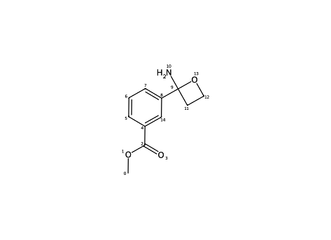 COC(=O)c1cccc(C2(N)CCO2)c1